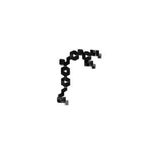 CCCCCc1ccc(-c2ccc(C(=O)C=Cc3ccc(Oc4cc(N)cc(N)c4)cc3)cc2)cc1